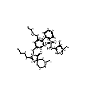 CCCCC1=NC2(CCCN(C)C2)C(=O)N1Cc1ccc(-c2ccccc2S(=O)(=O)Nc2noc(C)c2C)c(COCC)c1